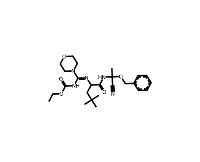 CCOC(=O)NC(=NC(CC(C)(C)C)C(=O)NC(C)(C#N)OCc1ccccc1)N1CCOCC1